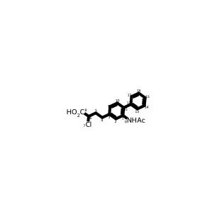 CC(=O)Nc1cc(CCC(Cl)C(=O)O)ccc1-c1ccccc1